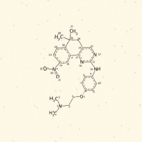 CN(C)CCOc1ccc(Nc2ncc3c(n2)-c2cc([N+](=O)[O-])ccc2C(C)(C)C3)cc1